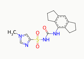 Cn1cnc(S(=O)(=O)NC(=O)Nc2c3c(cc4c2CCC4)CCC3)c1